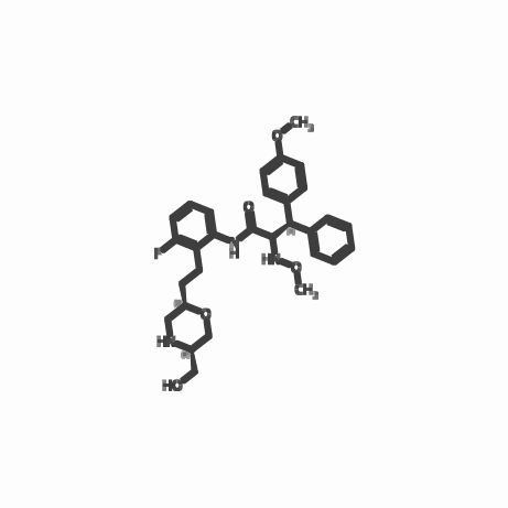 CONC(C(=O)Nc1cccc(F)c1CC[C@@H]1CN[C@H](CO)CO1)[C@H](c1ccccc1)c1ccc(OC)cc1